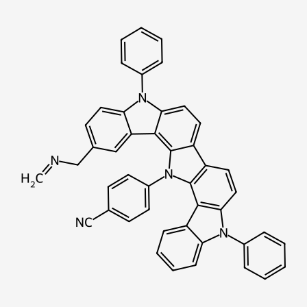 C=NCc1ccc2c(c1)c1c(ccc3c4ccc5c(c6ccccc6n5-c5ccccc5)c4n(-c4ccc(C#N)cc4)c31)n2-c1ccccc1